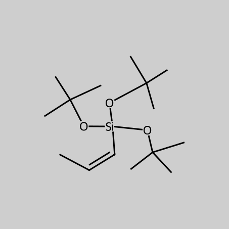 C/C=C\[Si](OC(C)(C)C)(OC(C)(C)C)OC(C)(C)C